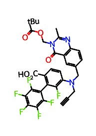 C#CCN(Cc1ccc2nc(C)n(COC(=O)C(C)(C)C)c(=O)c2c1)c1ccc(C(=O)O)c(-c2c(F)c(F)c(F)c(F)c2F)c1F